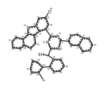 CCC(c1nc(-c2ccc3ccccc3c2)nc(-c2cc(Cl)cc3sc4c5ccccc5ccc4c23)n1)c1ccccc1-c1ccccc1C